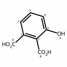 O=C(O)c1[c]ccc(O)c1C(=O)O